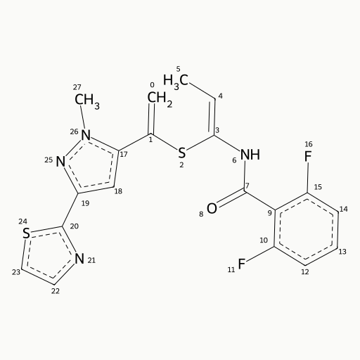 C=C(S/C(=C\C)NC(=O)c1c(F)cccc1F)c1cc(-c2nccs2)nn1C